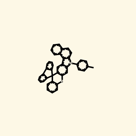 Cc1ccc(-n2c3cc4c(cc3c3c5ccccc5ccc32)C2(c3ccccc3S4)c3ccccc3-c3ccccc32)cc1